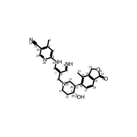 Cc1cc(N/C=C(\C=N)CN2CC[C@@H](O)[C@H](c3ccc4c(c3C)COC4=O)C2)ncc1C#N